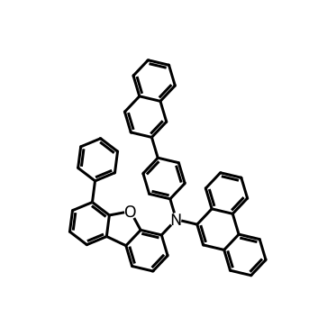 c1ccc(-c2cccc3c2oc2c(N(c4ccc(-c5ccc6ccccc6c5)cc4)c4cc5ccccc5c5ccccc45)cccc23)cc1